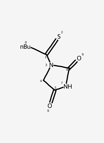 CCCCC(=S)N1CC(=O)NC1=O